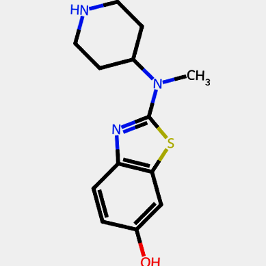 CN(c1nc2ccc(O)cc2s1)C1CCNCC1